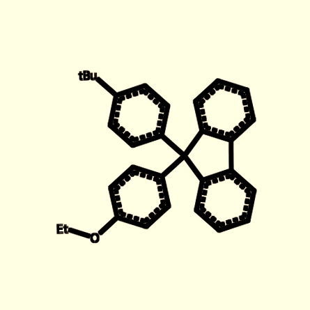 CCOc1ccc(C2(c3ccc(C(C)(C)C)cc3)c3ccccc3-c3ccccc32)cc1